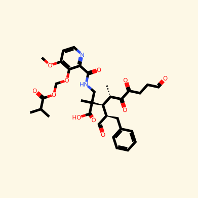 COc1ccnc(C(=O)NCC(C)(C(=O)O)[C@H]([C@H](C=O)Cc2ccccc2)[C@H](C)C(=O)C(=O)CCC=O)c1OCOC(=O)C(C)C